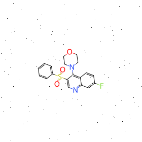 O=S(=O)(c1ccccc1)c1cnc2cc(F)ccc2c1N1CCOCC1